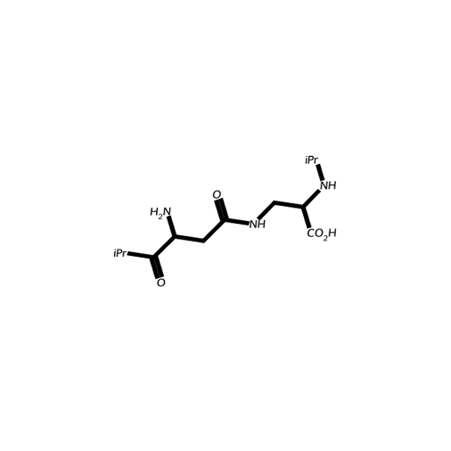 CC(C)NC(CNC(=O)CC(N)C(=O)C(C)C)C(=O)O